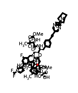 COC(=O)N[C@H](C(=O)N[C@@H](Cc1ccc(C#Cc2cnc(N3CC4CCC(C3)N4C3COC3)nc2)cc1)[C@H](CN(Cc1c(F)cc(-c2ccn(C(F)F)n2)cc1F)NC(=O)[C@@H](NC(=O)OC)C(C)(C)C(F)(F)F)OC(=O)CC(C)(C)c1c(CC(=O)O)cc(C)cc1OP(=O)(O)O)C(C)(C)C(F)(F)F